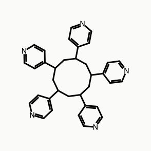 c1cc(C2CC(c3ccncc3)CC(c3ccncc3)CC(c3ccncc3)CC(c3ccncc3)C2)ccn1